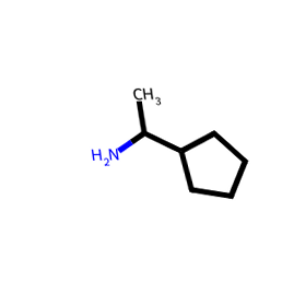 CC(N)C1CCCC1